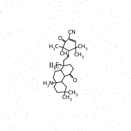 CC1(C)CC[C@]2(N)CC[C@]3(C)C(C(=O)CC[C@@]3(C)CC[C@@H]3C(C)(C)C=C(C#N)C(=O)C3(C)C)C2C1